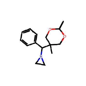 CC1OCC(C)(C(c2ccccc2)N2CC2)CO1